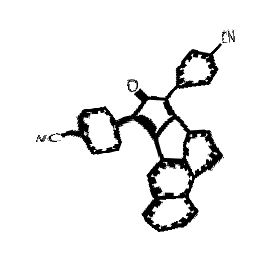 N#Cc1ccc(C2=C3C(=C(c4ccc(C#N)cc4)C2=O)c2cc4ccccc4c4cccc3c24)cc1